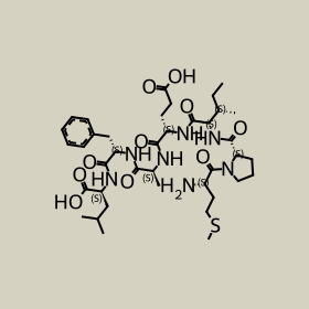 CC[C@H](C)[C@H](NC(=O)[C@@H]1CCCN1C(=O)[C@@H](N)CCSC)C(=O)N[C@@H](CCC(=O)O)C(=O)N[C@@H](C)C(=O)N[C@@H](Cc1ccccc1)C(=O)N[C@@H](CC(C)C)C(=O)O